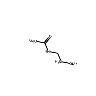 CO[SiH2]CNC(=O)OC